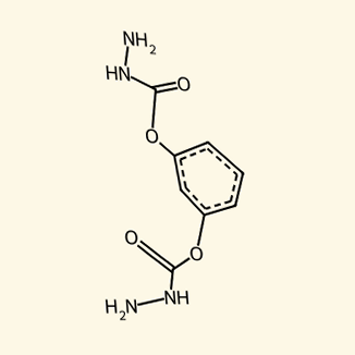 NNC(=O)Oc1cccc(OC(=O)NN)c1